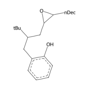 CCCCCCCCCCC1OC1CC(Cc1ccccc1O)C(C)(C)C